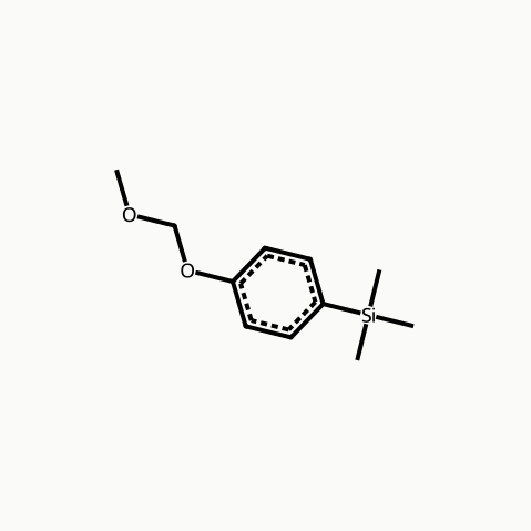 COCOc1ccc([Si](C)(C)C)cc1